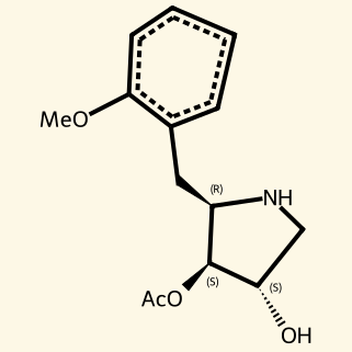 COc1ccccc1C[C@H]1NC[C@H](O)[C@H]1OC(C)=O